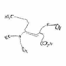 CCN(CC)/C(CC(=O)O)=C(/SC#N)C(=O)O